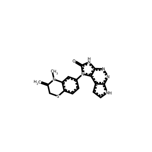 C=C1CSc2ccc(-n3c(=O)[nH]c4nnc5[nH]ccc5c43)cc2N1C